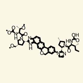 CC[C@@H](C)[C@H](NC(=O)O)C(=O)N1C[C@@H](C)C[C@H]1c1nccn1-c1ccc2c(c1)COc1cc3c(ccc4nc([C@@H]5C[C@H](COC)CN5C(=O)[C@@H](NC(=O)OC)[C@H](C)OC)[nH]c43)cc1-2